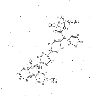 CCOC(=O)C(C)(OC(=O)C(c1ccccc1)C1CCN(c2ccc(NC(=O)c3ccccc3-c3ccc(C(F)(F)F)cc3)cc2)CC1)C(=O)OCC